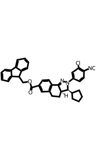 [C-]#[N+]c1ccc(N2N=C3c4ccc(C(=O)OCC5c6ccccc6-c6ccccc65)cc4CC[C@@H]3[C@@H]2C2CCCC2)cc1Cl